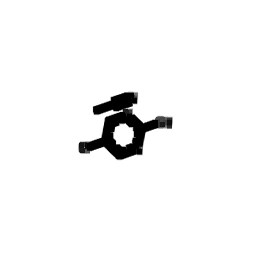 CC#N.Oc1ncc(Cl)cn1